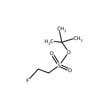 CC(C)(C)OS(=O)(=O)CCF